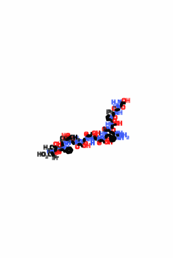 CC(C)C[C@H](NC(=O)[C@@H](NC(=O)[C@H](Cc1ccccc1)NC(=O)[C@H](CC(=O)O)NC(=O)[C@@H](NC(=O)CNC(=O)[C@H](CO)NC(=O)CNC(=O)[C@H](CO)NC(=O)CNC(=O)[C@H](CO)NC(=O)[C@H](Cc1ccccc1)NC(=O)[C@H](CCCNC(=N)N)NC(=O)[C@H](CO)NC(=O)[C@@H]1CCCN1C(=O)[C@@H](NC(=O)CNC(=O)[C@@H](N)CO)C(C)C)[C@@H](C)O)[C@@H](C)O)C(=O)O